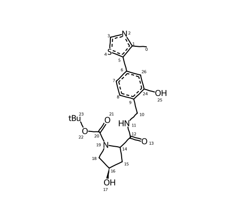 Cc1ncsc1-c1ccc(CNC(=O)C2C[C@@H](O)CN2C(=O)OC(C)(C)C)c(O)c1